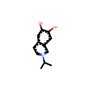 CC(C)[n+]1ccc2cc(O)c(O)cc2c1